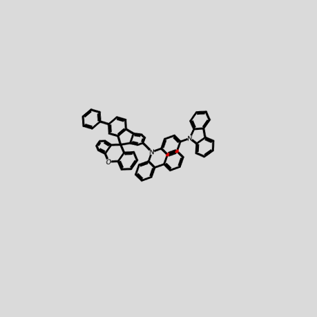 c1ccc(-c2ccc3c(c2)C2(c4ccccc4Oc4ccccc42)c2cc(N(c4ccc(-n5c6ccccc6c6ccccc65)cc4)c4ccccc4-c4ccccc4)ccc2-3)cc1